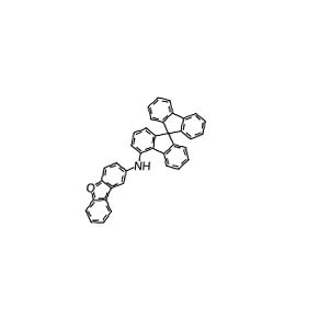 c1ccc2c(c1)-c1ccccc1C21c2ccccc2-c2c(Nc3ccc4oc5ccccc5c4c3)cccc21